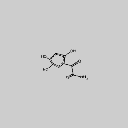 NC(=O)C(=O)c1cc(O)c(O)cc1O